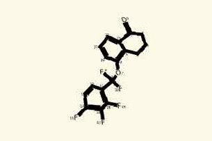 O=C1CCCc2c(OC(F)(F)c3ccc(F)c(F)c3F)cccc21